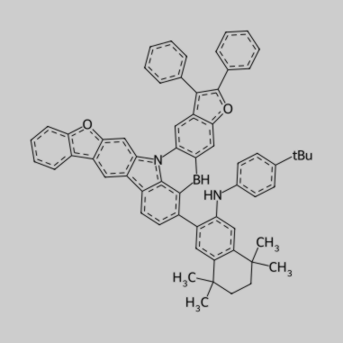 CC(C)(C)c1ccc(Nc2cc3c(cc2-c2ccc4c5cc6c(cc5n5c4c2Bc2cc4oc(-c7ccccc7)c(-c7ccccc7)c4cc2-5)oc2ccccc26)C(C)(C)CCC3(C)C)cc1